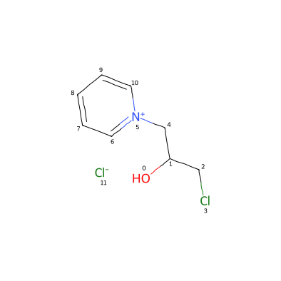 OC(CCl)C[n+]1ccccc1.[Cl-]